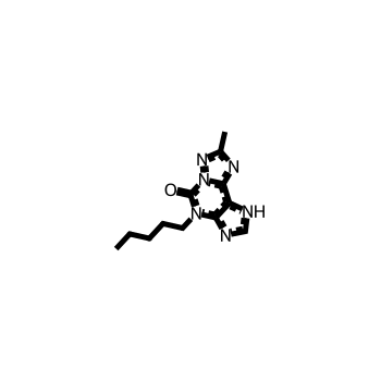 CCCCCn1c(=O)n2nc(C)nc2c2[nH]cnc21